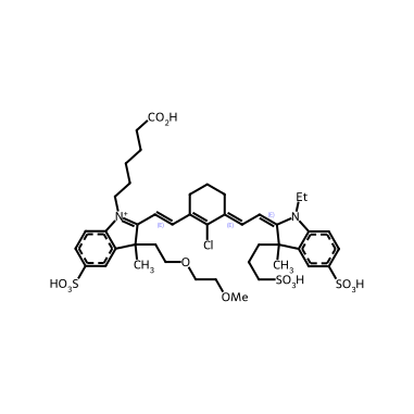 CCN1/C(=C/C=C2\CCCC(/C=C/C3=[N+](CCCCCC(=O)O)c4ccc(S(=O)(=O)O)cc4C3(C)CCOCCOC)=C2Cl)C(C)(CCCS(=O)(=O)O)c2cc(S(=O)(=O)O)ccc21